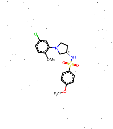 COc1ccc(Cl)cc1N1CC[C@H](NS(=O)(=O)c2ccc(OC(F)(F)F)cc2)C1